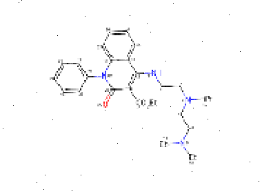 CCOC(=O)c1c(NCCN(CCN(CC)CC)C(C)C)c2ccccc2n(-c2ccccc2)c1=O